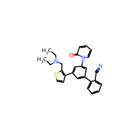 CCN(CC)Cc1sccc1-c1cc(-c2ccccc2C#N)cc(-n2ccccc2=O)c1